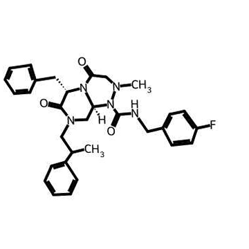 CC(CN1C[C@H]2N(C(=O)CN(C)N2C(=O)NCc2ccc(F)cc2)[C@@H](Cc2ccccc2)C1=O)c1ccccc1